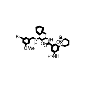 CCNc1cc(C(=O)N[C@@H](Cc2ccccc2)[C@H](O)CNCc2cc(Br)cc(OC)c2)cc(N2CCCCS2(=O)=O)c1